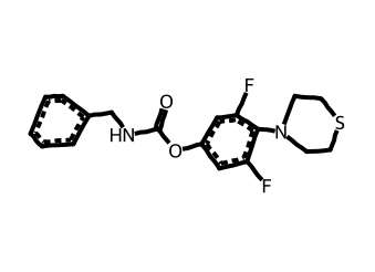 O=C(NCc1ccccc1)Oc1cc(F)c(N2CCSCC2)c(F)c1